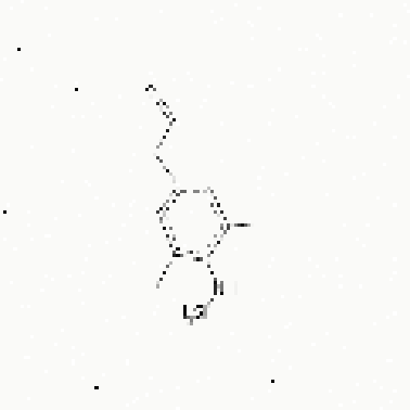 C=CCc1cc(C)c(N[SiH3])c(C)c1